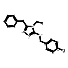 CCn1c(Cc2ccccc2)nnc1SCc1ccc(Cl)cc1